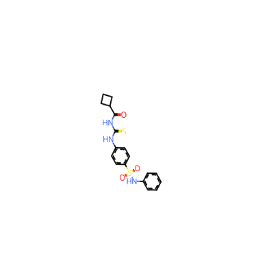 O=C(NC(=S)Nc1ccc(S(=O)(=O)Nc2ccccc2)cc1)C1CCC1